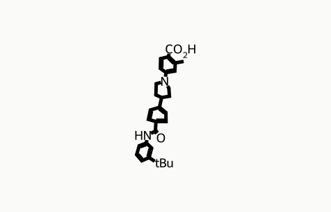 Cc1cc(N2CCC(c3ccc(C(=O)Nc4cccc(C(C)(C)C)c4)cc3)CC2)ccc1C(=O)O